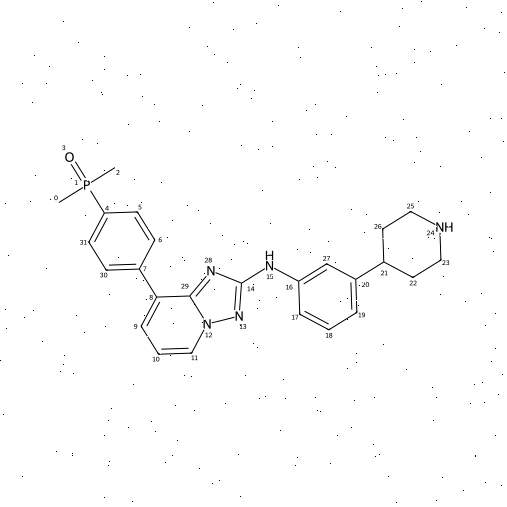 CP(C)(=O)c1ccc(-c2cccn3nc(Nc4cccc(C5CCNCC5)c4)nc23)cc1